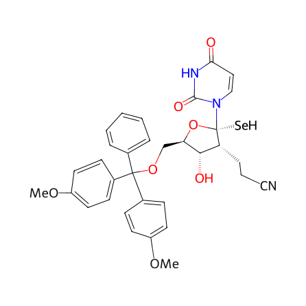 COc1ccc(C(OC[C@H]2O[C@@]([SeH])(n3ccc(=O)[nH]c3=O)[C@H](CCC#N)[C@@H]2O)(c2ccccc2)c2ccc(OC)cc2)cc1